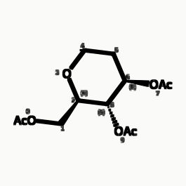 CC(=O)OC[C@H]1O[CH]C[C@@H](OC(C)=O)[C@@H]1OC(C)=O